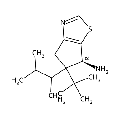 CC(C)C(C)C1(C(C)(C)C)Cc2ncsc2[C@H]1N